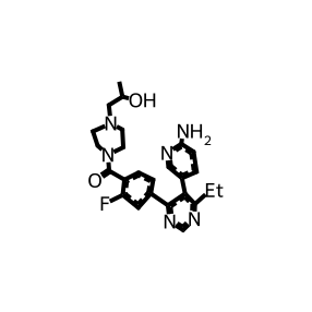 CCc1ncnc(-c2ccc(C(=O)N3CCN(CC(C)O)CC3)c(F)c2)c1-c1ccc(N)nc1